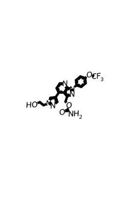 NC(=O)OCc1nn(-c2ccc(OC(F)(F)F)cc2)c2nccc(-c3cnn(CCO)c3)c12